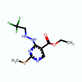 CCOC(=O)c1cnc(SC)nc1NNCC(F)(F)F